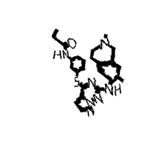 C=CC(=O)Nc1cccc(Sc2nc(Nc3cc4c(cc3C)CN(C)CC4)nn3nccc23)c1